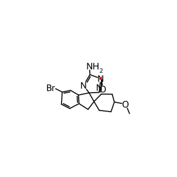 COC1CCC2(CC1)Cc1ccc(Br)cc1C21N=C(N)N2CCON=C21